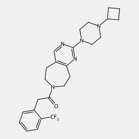 O=C(Cc1ccccc1C(F)(F)F)N1CCc2cnc(N3CCN(C4CCC4)CC3)nc2CC1